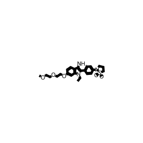 CCn1c(-c2ccc(N3CCCS3(=O)=O)cc2)c(N)c2ccc(OCCOCCOC)cc21